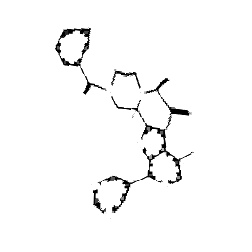 O=C1C(=O)N2CCN(C(=O)c3ccccc3)C[C@H]2c2[nH]c3c(-c4cncnc4)ncc(F)c3c21